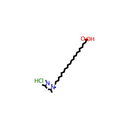 CC(C)N(C)C.CC(C)N(C)C.CCCCCCCCCCCCCCCCCCCCCC(=O)O.Cl